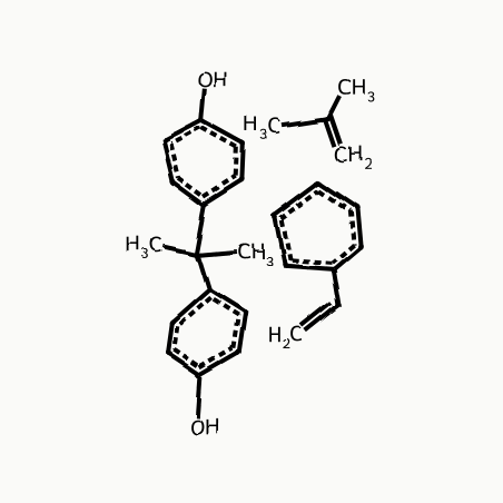 C=C(C)C.C=Cc1ccccc1.CC(C)(c1ccc(O)cc1)c1ccc(O)cc1